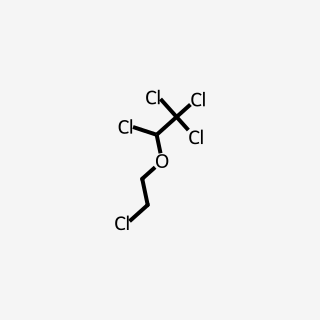 ClCCOC(Cl)C(Cl)(Cl)Cl